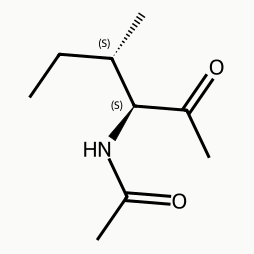 CC[C@H](C)[C@H](NC(C)=O)C(C)=O